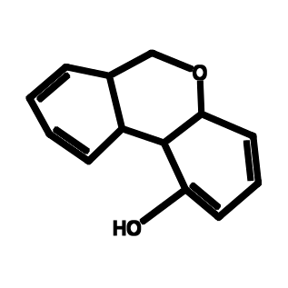 OC1=CC=CC2OCC3C=CC=CC3C12